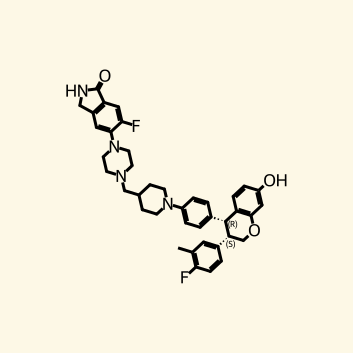 Cc1cc([C@H]2COc3cc(O)ccc3[C@H]2c2ccc(N3CCC(CN4CCN(c5cc6c(cc5F)C(=O)NC6)CC4)CC3)cc2)ccc1F